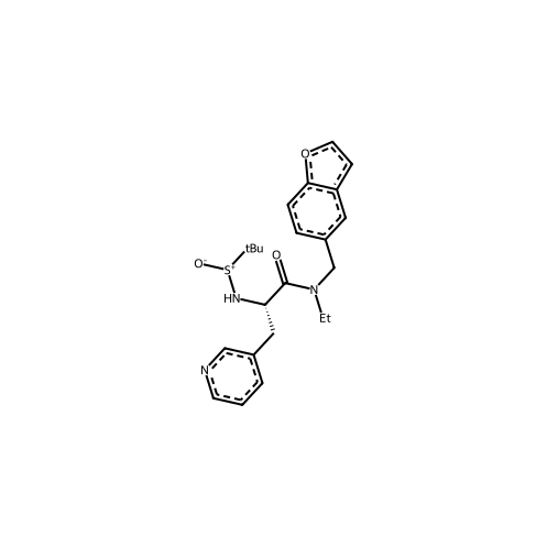 CCN(Cc1ccc2occc2c1)C(=O)[C@H](Cc1cccnc1)N[S+]([O-])C(C)(C)C